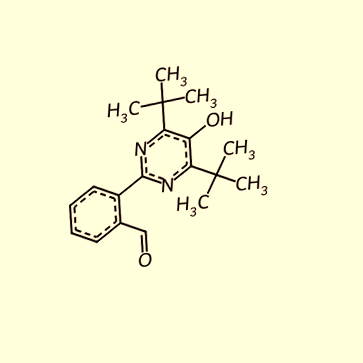 CC(C)(C)c1nc(-c2ccccc2C=O)nc(C(C)(C)C)c1O